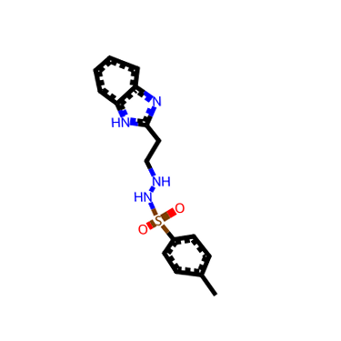 Cc1ccc(S(=O)(=O)NNCCc2nc3ccccc3[nH]2)cc1